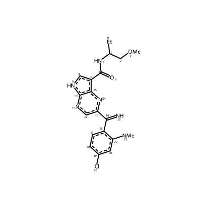 CCC(COC)NC(=O)c1c[nH]c2ncc(C(=N)c3ccc(Cl)cc3NC)nc12